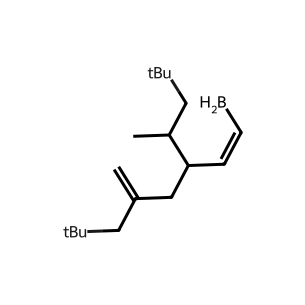 B/C=C\C(CC(=C)CC(C)(C)C)C(C)CC(C)(C)C